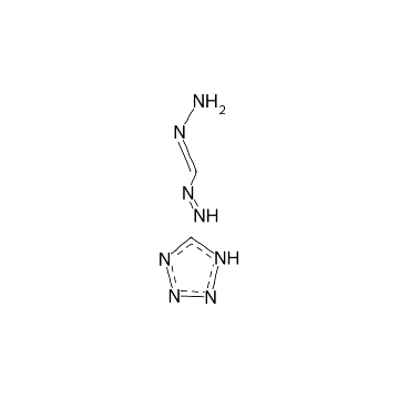 N=NC=NN.c1nnn[nH]1